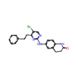 O=C1CCc2cc(Nc3ncc(Br)c(CCc4ccccc4)n3)ccc2N1